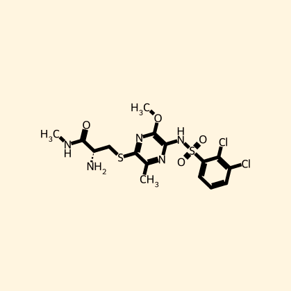 CNC(=O)[C@@H](N)CSc1nc(OC)c(NS(=O)(=O)c2cccc(Cl)c2Cl)nc1C